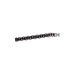 C#CCOCCOCCOCCOCCOCCOCCOCCOCCOCCOCCOCCOCCOCCOCCOCCOCCOSI